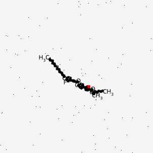 CCCCCCCCCCCCCCOc1ccc(C#CC(=O)Oc2ccc(-c3ccc(C(=O)OC(C)CCCCCC)cc3)cc2)cc1F